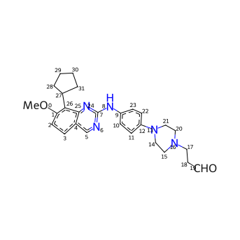 COc1ccc2cnc(Nc3ccc(N4CCN(CCC=O)CC4)cc3)nc2c1C1CCCC1